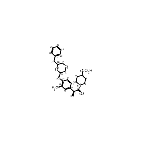 C=C(C(=O)N1CCC(C(=O)O)CC1)c1ccc(SC2COCC(Cc3ccccc3)O2)c(C(F)(F)F)c1